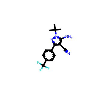 CC(C)(C)n1nc(-c2ccc(C(F)(F)F)cc2)c(C#N)c1N